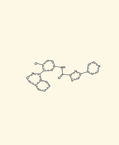 O=C(Nc1ccc(Cl)c(-c2nccc3ccccc23)c1)c1nc(-c2ccncc2)cs1